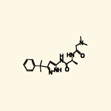 C[C@H](NC(=O)CN(C)C)C(=O)Nc1cc(C(C)(C)c2ccccc2)n[nH]1